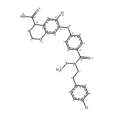 CSN(CCc1ccc(Cl)cc1)C(=O)c1ccc(Oc2cc3c(cc2Cl)C(C(=O)O)CCO3)cc1